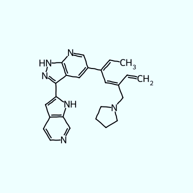 C=C/C(=C\C(=C/C)c1cnc2[nH]nc(-c3cc4ccncc4[nH]3)c2c1)CN1CCCC1